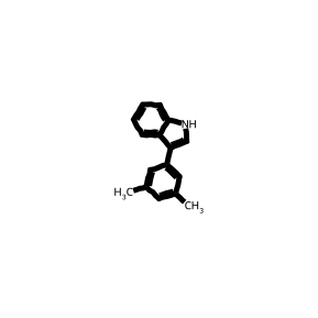 Cc1cc(C)cc(-c2c[nH]c3ccccc23)c1